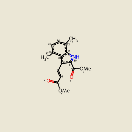 COC(=O)C=Cc1c(C(=O)OC)[nH]c2c(C)ccc(C)c12